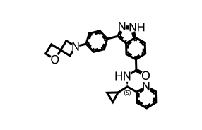 O=C(N[C@H](c1ccccn1)C1CC1)c1ccc2[nH]nc(-c3ccc(N4CC5(CCO5)C4)cc3)c2c1